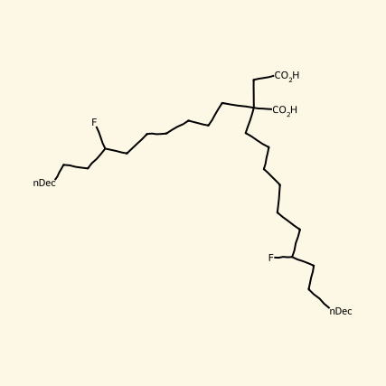 CCCCCCCCCCCCC(F)CCCCCCC(CCCCCCC(F)CCCCCCCCCCCC)(CC(=O)O)C(=O)O